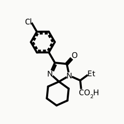 CCC(C(=O)O)N1C(=O)C(c2ccc(Cl)cc2)=NC12CCCCC2